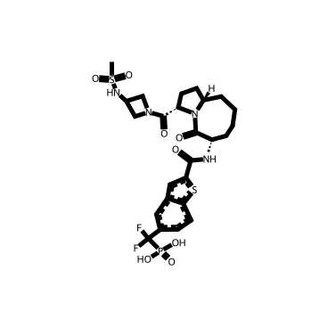 CS(=O)(=O)NC1CN(C(=O)[C@@H]2CC[C@@H]3CCCC[C@H](NC(=O)c4cc5cc(C(F)(F)P(=O)(O)O)ccc5s4)C(=O)N32)C1